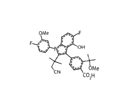 COc1cc(-n2c(C(C)(C)CC#N)c(-c3ccc(C(=O)O)c(C(C)(C)OC)c3)c3c(O)c(F)ccc32)ccc1F